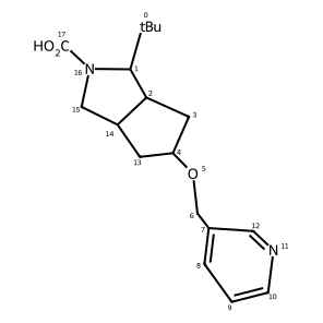 CC(C)(C)C1C2CC(OCc3cccnc3)CC2CN1C(=O)O